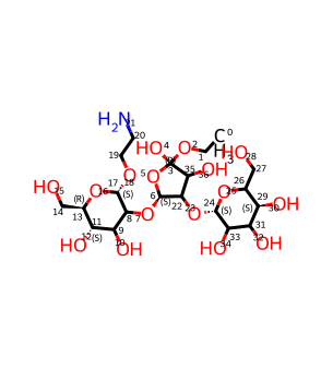 CCO[C@@]1(O)O[C@H](OC2C(O)[C@H](O)[C@@H](CO)O[C@@H]2OCCN)C(O[C@@H]2OC(CO)[C@@H](O)C(O)C2O)C1O